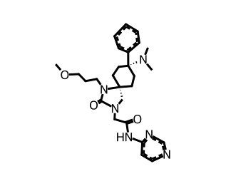 COCCCN1C(=O)N(CC(=O)Nc2ccncn2)C[C@]12CC[C@@](c1ccccc1)(N(C)C)CC2